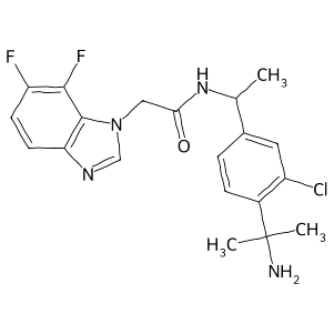 CC(NC(=O)Cn1cnc2ccc(F)c(F)c21)c1ccc(C(C)(C)N)c(Cl)c1